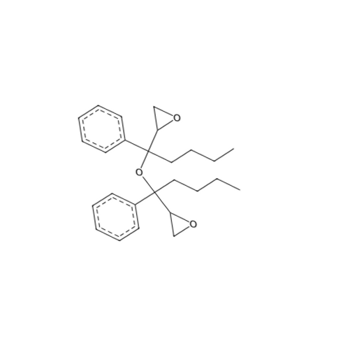 CCCCC(OC(CCCC)(c1ccccc1)C1CO1)(c1ccccc1)C1CO1